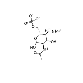 CC(=O)N[C@H]1C(O)O[C@H](COP(=O)([O-])[O-])[C@@H](O)[C@@H]1O.[Na+].[Na+]